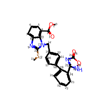 COC(=O)c1cccc2nc(SC)n(Cc3ccc(-c4ccccc4-c4nc(=O)o[nH]4)cc3)c12